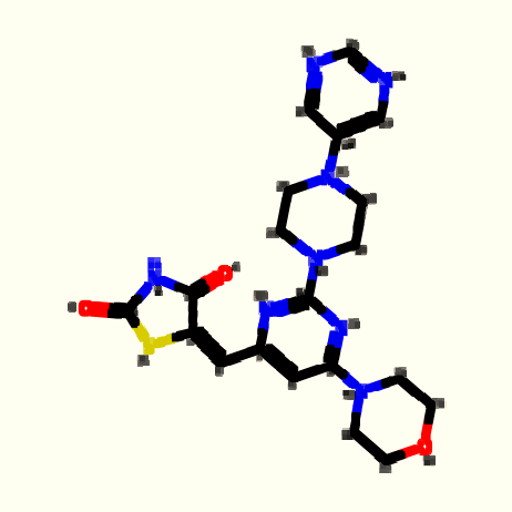 O=C1NC(=O)/C(=C\c2cc(N3CCOCC3)nc(N3CCN(c4cncnc4)CC3)n2)S1